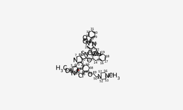 COc1cc(-c2ncc3snc(O[C@H](Cc4ccccc4OCc4ccnc(-c5ccccc5OC)n4)C(=O)O)c3c2C2=C(C)C(Cl)=C(OCCN3CCN(C)CC3)CC2)ccn1